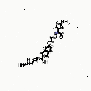 N=CNCCCNC(=N)N1Cc2ccc(OCCO/N=C(\C=O)c3csc(N)n3)cc2C1